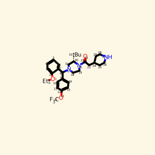 CCOc1ccccc1C(c1ccc(OC(F)(F)F)cc1)N1CCN(C(=O)CC2CCNCC2)[C@@H](C(C)(C)C)C1